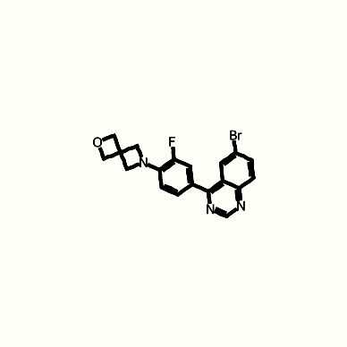 Fc1cc(-c2ncnc3ccc(Br)cc23)ccc1N1CC2(COC2)C1